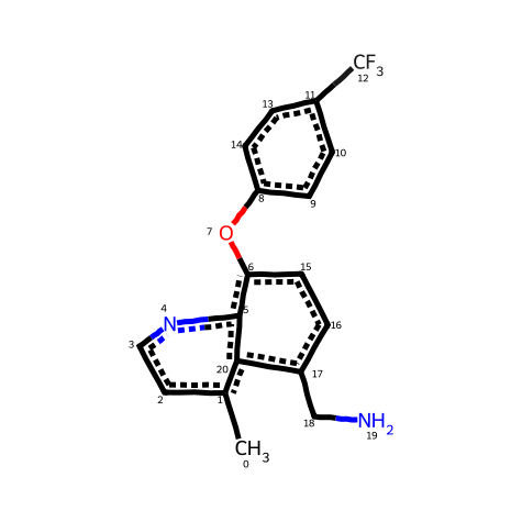 Cc1ccnc2c(Oc3ccc(C(F)(F)F)cc3)ccc(CN)c12